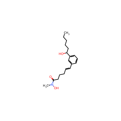 CCCCCC(O)c1cccc(C=CCCCC(=O)N(C)O)c1